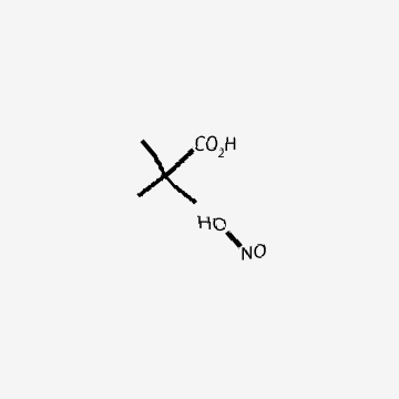 CC(C)(C)C(=O)O.O=NO